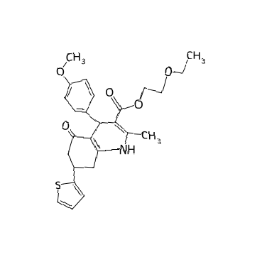 CCOCCOC(=O)C1=C(C)NC2=C(C(=O)CC(c3cccs3)C2)C1c1ccc(OC)cc1